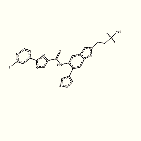 CC(C)(O)CCn1cc2cc(NC(=O)c3csc(-c4ccnc(F)c4)n3)c(-c3ccsc3)cc2n1